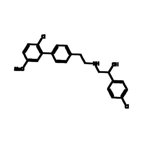 COc1ccc(Cl)c(-c2ccc(CCNCC(O)c3ccc(Cl)cc3)cc2)c1